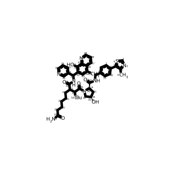 Cc1ncsc1-c1ccc(CNC(=O)[C@H]2C[C@H](O)CN2C(=O)C(C(CCCCCC(N)=O)C(=O)NC(c2cccnc2)c2cc(C)c3cccnc3c2O)C(C)(C)C)cc1